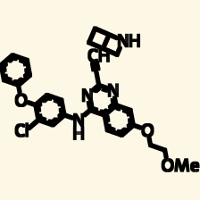 C#Cc1nc(Nc2ccc(Oc3ccccc3)c(Cl)c2)c2ccc(OCCOC)cc2n1.C1CC2NCC12